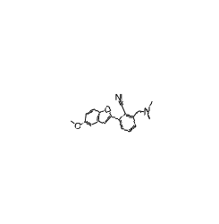 COc1ccc2oc(-c3cccc(CN(C)C)c3C#N)cc2c1